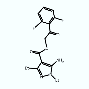 CCc1nn(CC)c(N)c1C(=O)OCC(=O)c1c(F)cccc1F